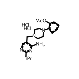 CCCc1ncc(CN2CCN(c3ccccc3OC)CC2)c(N)n1.Cl.Cl